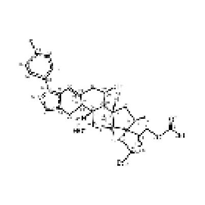 CCC(=O)OCC(=O)[C@@]1(OC(=O)CC)[C@H](C)C[C@H]2[C@H]3[C@H]([C@@H](O)C[C@@]21C)[C@@]1(C)Cc2cnn(-c4ccc(C)cc4)c2C=C1C[C@H]3Cl